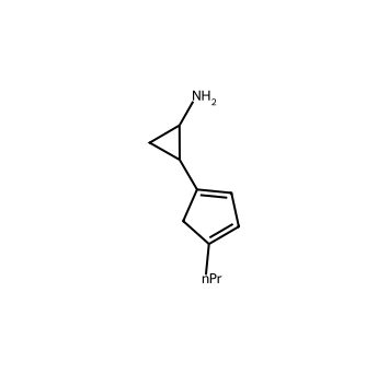 CCCC1=CC=C(C2CC2N)C1